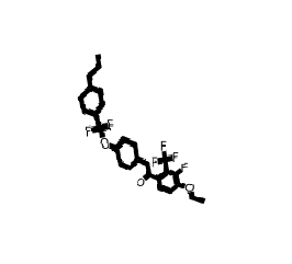 CCCC1CCC(C(F)(F)OC2CCC(CC(=O)c3ccc(OCC)c(F)c3C(F)(F)F)CC2)CC1